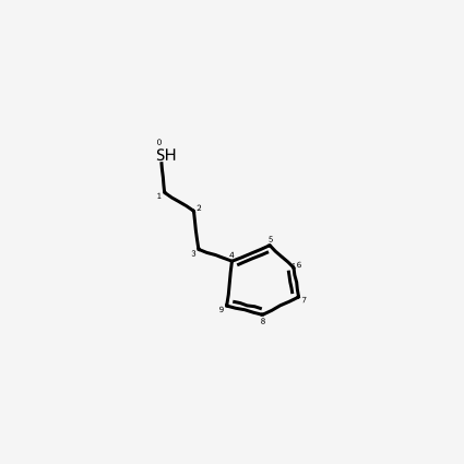 SCCCc1c[c]ccc1